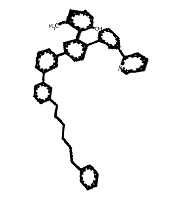 Cc1cccc(C)c1-c1cc(-c2cccc(-c3cccc(CCCCCCc4ccccc4)c3)c2)ccc1-c1cccc(-c2ccccn2)c1